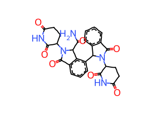 NC(=O)C1c2c(cccc2C2c3[c]cccc3C(=O)N2C2CCC(=O)NC2=O)C(=O)N1C1CCC(=O)NC1=O